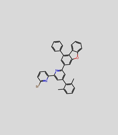 Cc1cccc(C)c1-c1cc(-c2cc(-c3ccccc3)c3c(c2)oc2ccccc23)nc(-c2cccc(Br)n2)c1